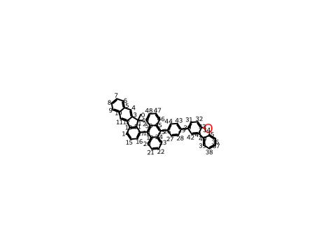 CC1(C)c2cc3ccccc3cc2-c2cccc(-c3c4ccccc4c(-c4ccc(-c5ccc6oc7ccccc7c6c5)cc4)c4ccccc34)c21